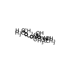 CC(C)(C)NC(=O)Cc1ccc(C(=O)Nc2ccc(Cc3ccc(C(C)(C)C)cc3)cc2)c(C(=O)O)c1